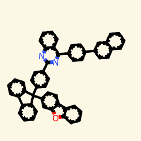 c1ccc2c(c1)-c1ccccc1C2(c1ccc(-c2nc(-c3ccc(-c4ccc5ccccc5c4)cc3)c3ccccc3n2)cc1)c1ccc2c(c1)oc1ccccc12